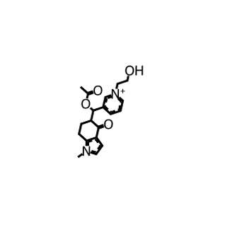 CC(=O)OC(c1ccc[n+](CCO)c1)C1CCc2c(ccn2C)C1=O